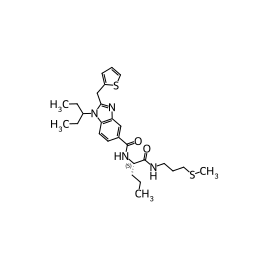 CCC[C@H](NC(=O)c1ccc2c(c1)nc(Cc1cccs1)n2C(CC)CC)C(=O)NCCCSC